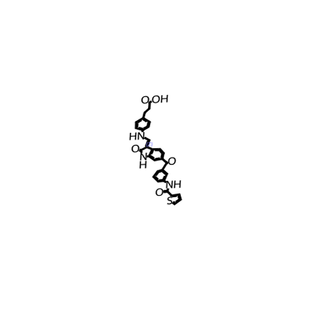 O=C(O)CCc1ccc(N/C=C2\C(=O)Nc3cc(C(=O)c4cccc(NC(=O)c5cccs5)c4)ccc32)cc1